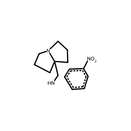 O=[N+]([O-])c1ccccc1.[NH]CC12CCCN1CCC2